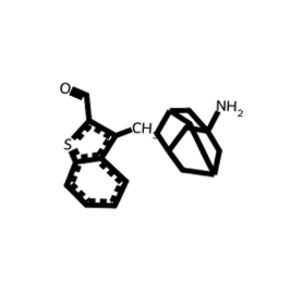 Cc1c(C=O)sc2ccccc12.NC12CC3CC(CC(C3)C1)C2